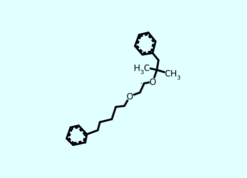 CC(C)(Cc1ccccc1)O[CH]COCCCCCc1ccccc1